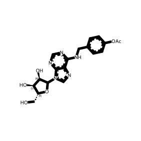 CC(=O)Oc1ccc(CNc2ncnc3c2ncn3C2O[C@H](CO)[C@@H](O)[C@H]2O)cc1